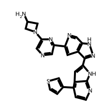 NC1CN(c2cncc(-c3cc4c(-c5cc6c(-c7ccsc7)ccnc6[nH]5)n[nH]c4cn3)n2)C1